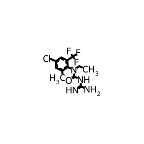 CCN(C(=O)NC(=N)N)c1c(C)cc(Cl)cc1C(F)(F)F